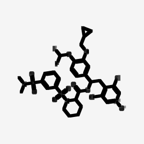 CN(C)S(=O)(=O)c1cccc(S(=O)(=O)N2CCCCC2C(=O)OC(Cc2c(Cl)c[n+]([O-])cc2Cl)c2ccc(OC(F)F)c(OCC3CC3)c2)c1